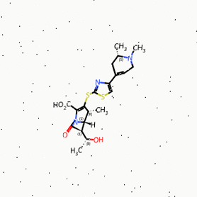 C[C@@H](O)[C@H]1C(=O)N2C(C(=O)O)=C(Sc3nc(C4=CCN(C)[C@@H](C)C4)cs3)[C@H](C)[C@H]12